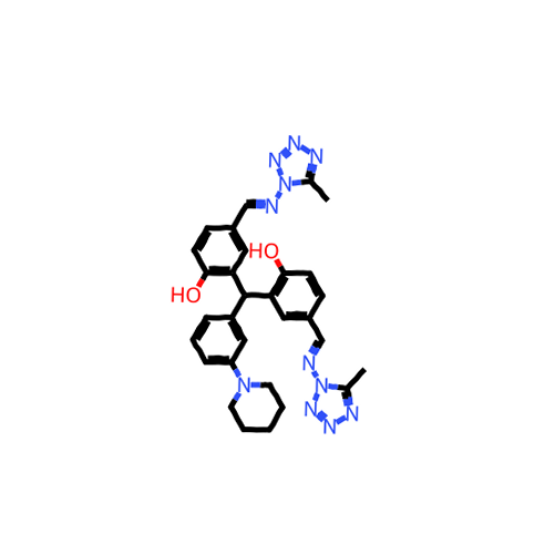 Cc1nnnn1N=Cc1ccc(O)c(C(c2cccc(N3CCCCC3)c2)c2cc(C=Nn3nnnc3C)ccc2O)c1